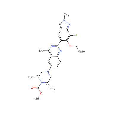 COCOc1c(-c2nc(C#N)c3cc(N4C[C@@H](C)N(C(=O)OC(C)(C)C)[C@@H](C)C4)ccc3n2)cc2cn(C)nc2c1F